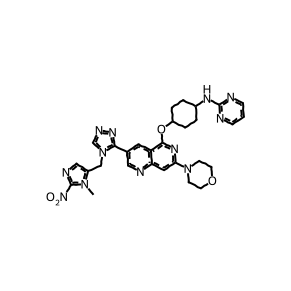 Cn1c(Cn2cnnc2-c2cnc3cc(N4CCOCC4)nc(OC4CCC(Nc5ncccn5)CC4)c3c2)cnc1[N+](=O)[O-]